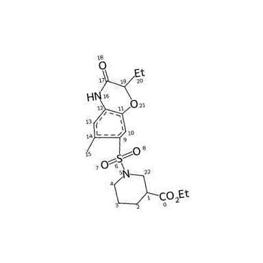 CCOC(=O)C1CCCN(S(=O)(=O)c2cc3c(cc2C)NC(=O)C(CC)O3)C1